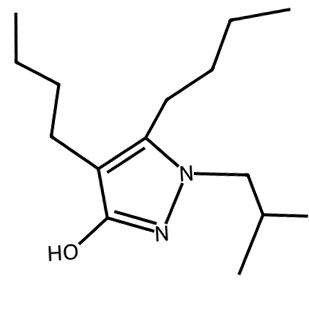 CCCCc1c(O)nn(CC(C)C)c1CCCC